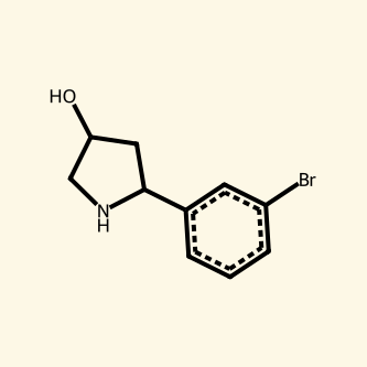 OC1CNC(c2cccc(Br)c2)C1